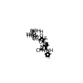 O=P(O)(O)CP(=O)(O)OC[C@H]1O[C@@H](n2ccc3c(NC4CCCC4)nc(Cl)nc32)[C@@H](F)[C@@H]1O